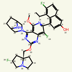 CCc1c(F)ccc2cc(O)cc(-c3nc(OC)c4c(N5CC6CCC(C5)N6)nc(OC[C@@]56CCCN5C[C@H](F)C6)nc4c3F)c12